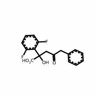 O=C(Cc1ccccc1)CC(O)(C(=O)O)c1c(F)cccc1F